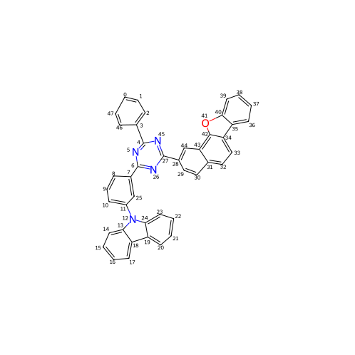 c1ccc(-c2nc(-c3cccc(-n4c5ccccc5c5ccccc54)c3)nc(-c3ccc4ccc5c6ccccc6oc5c4c3)n2)cc1